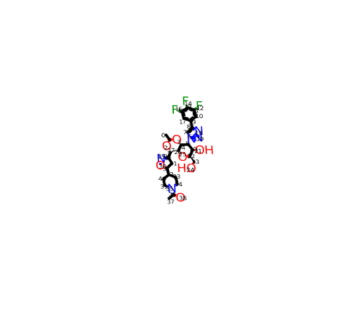 CC(=O)O[C@@H]1[C@@H](n2cc(-c3cc(F)c(F)c(F)c3)nn2)[C@@H](O)[C@@H](CO)O[C@@H]1CC1=NOC(C2CCN(C(C)=O)CC2)C1